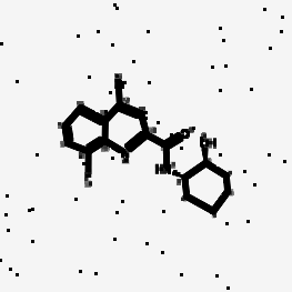 O=C(N[C@H]1CCCC[C@@H]1O)c1cc(Br)c2cccc(F)c2n1